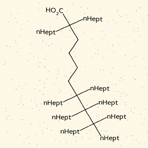 CCCCCCCC(CCCCCCC)(CCCCC(CCCCCCC)(CCCCCCC)C(CCCCCCC)(CCCCCCC)C(CCCCCCC)(CCCCCCC)CCCCCCC)C(=O)O